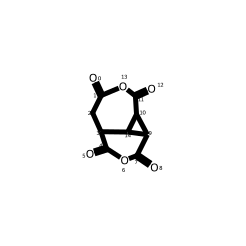 O=C1CC2C(=O)OC(=O)C3C(C(=O)O1)C23